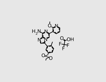 COc1ncccc1-c1cn2c(-c3cc(S(C)(=O)=O)ccc3C)cnc2c(N)n1.O=C(O)C(F)(F)F